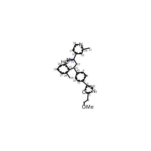 COCCc1nnc(-c2ccc(C(C/C(=N\O)c3ccnc(C)c3)c3ccccc3C)cc2)o1